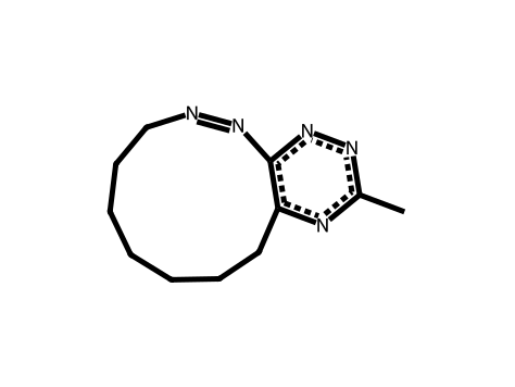 Cc1nnc2c(n1)CCCCCCC/N=N\2